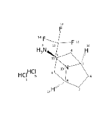 Cl.Cl.N[C@H]1C[C@H]2CC[C@@H](C1)N2CC(F)(F)F